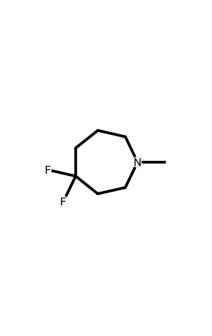 CN1CCCC(F)(F)CC1